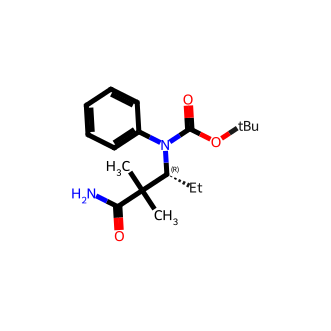 CC[C@@H](N(C(=O)OC(C)(C)C)c1ccccc1)C(C)(C)C(N)=O